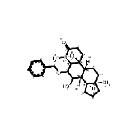 CC1C(OCc2ccccc2)C2N(C)C(=O)CC[C@]2(C)[C@@H]2CC[C@]3(C)CCC[C@H]3[C@H]12